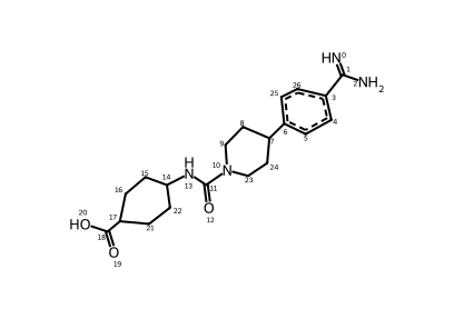 N=C(N)c1ccc(C2CCN(C(=O)NC3CCC(C(=O)O)CC3)CC2)cc1